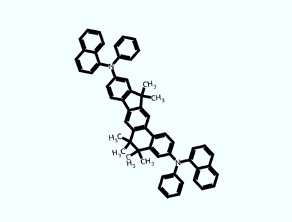 CC1(C)c2cc(N(c3ccccc3)c3cccc4ccccc34)ccc2-c2cc3c(cc21)-c1ccc(N(c2ccccc2)c2cccc4ccccc24)cc1C(C)(C)C3(C)C